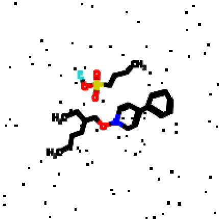 CCCCC(CC)CON1C=CC(c2ccccc2)=CC1.CCCCS(=O)(=O)OF